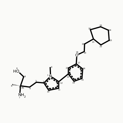 Cn1c(CC[C@@](C)(N)CO)ccc1-c1cccc(OCCC2CCCCC2)c1